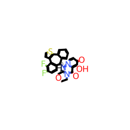 O=C1c2c(O)c(=O)ccn2N([C@@H]2c3ccccc3-c3sccc3-c3c2ccc(F)c3F)[C@H]2COCCN12